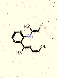 C/C=C\C=C(C)c1ccccc1N/C(C)=C/C